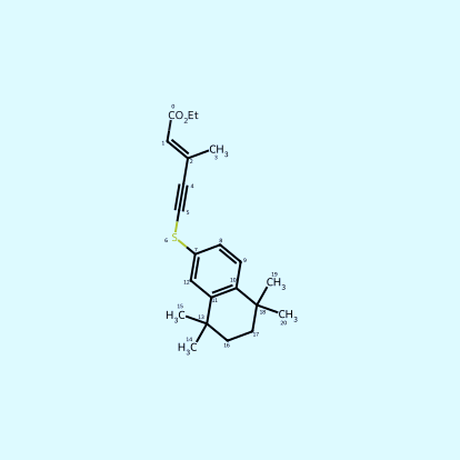 CCOC(=O)/C=C(\C)C#CSc1ccc2c(c1)C(C)(C)CCC2(C)C